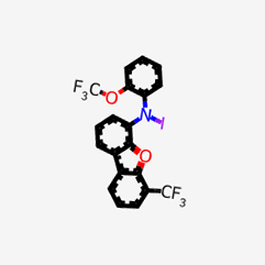 FC(F)(F)Oc1ccccc1N(I)c1cccc2c1oc1c(C(F)(F)F)cccc12